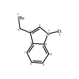 CCn1cc(CC(C)(C)C)c2ccccc21